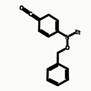 CCN(OCc1ccccc1)C1=CCC(=C=O)C=C1